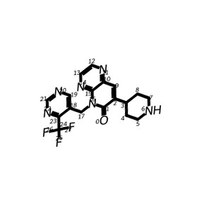 O=c1c(C2CCNCC2)cc2nccnc2n1Cc1cncnc1C(F)(F)F